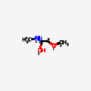 CNC(O)COC